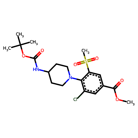 COC(=O)c1cc(Cl)c(N2CCC(NC(=O)OC(C)(C)C)CC2)c(S(C)(=O)=O)c1